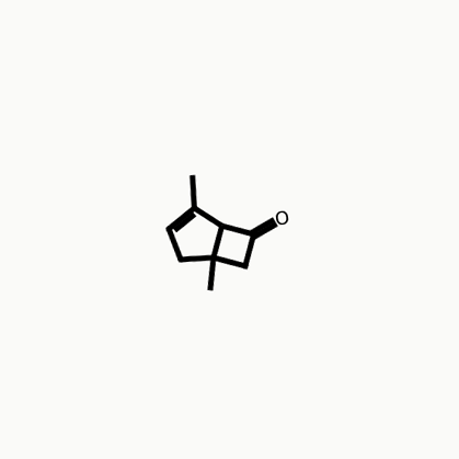 CC1=CCC2(C)CC(=O)C12